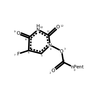 CCCCCC(=O)On1cc(F)c(=O)[nH]c1=O